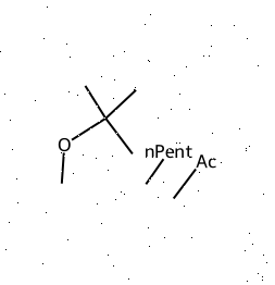 CC(C)=O.CCCCCC.COC(C)(C)C